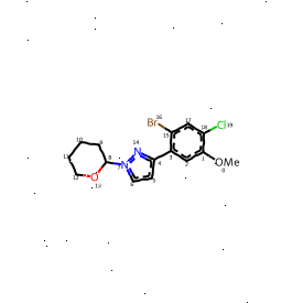 COc1cc(-c2ccn(C3CCCCO3)n2)c(Br)cc1Cl